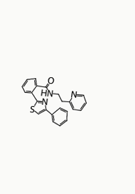 O=C(NCCc1ccccn1)c1ccccc1-c1nc(-c2ccccc2)cs1